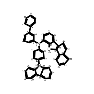 c1ccc(-c2cccc(N(c3ccc(-n4c5ccccc5c5ccccc54)cc3)c3cccc4c3oc3c5ccccc5ccc43)c2)cc1